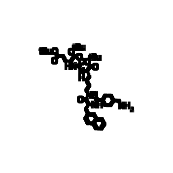 CC(C)(C)OC(=O)CC[C@H](NC(=O)N[C@@H](CCCCNC(=O)[C@H](Cc1ccc2ccccc2c1)NC(=O)C1CCC(CN)CC1)C(=O)OC(C)(C)C)C(=O)OC(C)(C)C